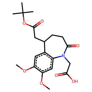 COc1cc2c(cc1OC)N(CC(=O)O)C(=O)CCC2CC(=O)OC(C)(C)C